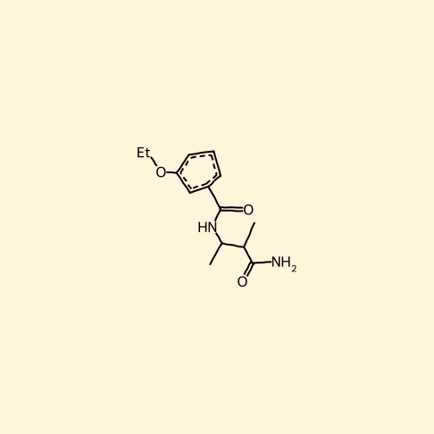 CCOc1cccc(C(=O)NC(C)C(C)C(N)=O)c1